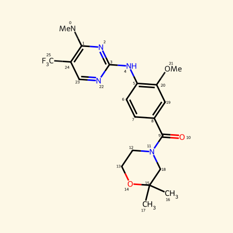 CNc1nc(Nc2ccc(C(=O)N3CCOC(C)(C)C3)cc2OC)ncc1C(F)(F)F